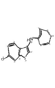 Clc1ccc2c(Nc3ccncc3)csc2c1